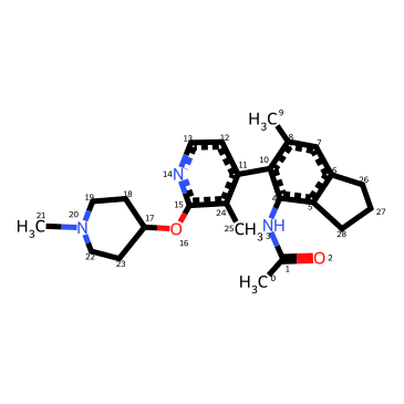 CC(=O)Nc1c2c(cc(C)c1-c1ccnc(OC3CCN(C)CC3)c1C)CCC2